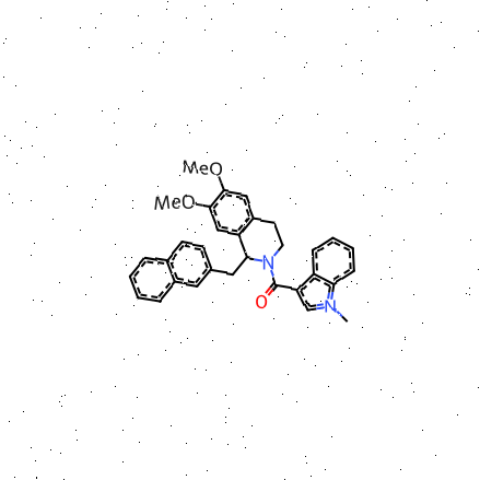 COc1cc2c(cc1OC)C(Cc1ccc3ccccc3c1)N(C(=O)c1cn(C)c3ccccc13)CC2